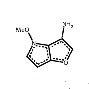 COn1ccc2occ(N)c21